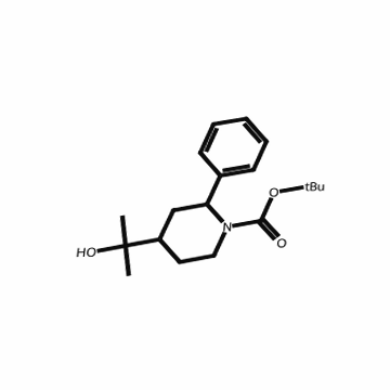 CC(C)(C)OC(=O)N1CCC(C(C)(C)O)CC1c1ccccc1